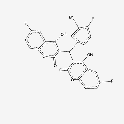 O=c1oc2ccc(F)cc2c(O)c1C(c1ccc(F)c(Br)c1)c1c(O)c2cc(F)ccc2oc1=O